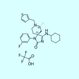 C[C@@H]1C[C@@]2(CCN1Cc1ccsc1)C(NC1CCCCC1)=NC(=O)N2c1cccc(F)c1.O=C(O)C(F)(F)F